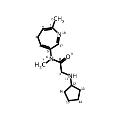 CC1=CCC=C(N(C)C(=O)CNC2CCCC2)C=N1